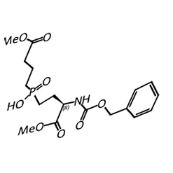 COC(=O)CCCP(=O)(O)CC[C@@H](NC(=O)OCc1ccccc1)C(=O)OC